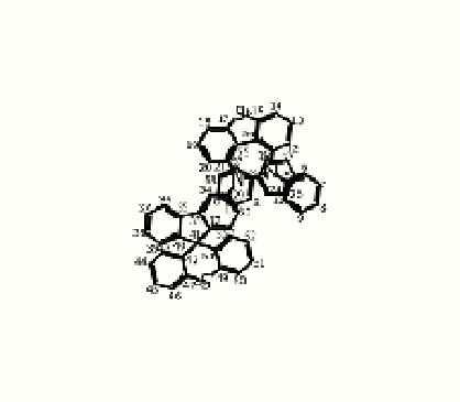 c1ccc(N(c2ccccc2)c2cccc3sc4cccc(N(c5ccccc5)c5ccc6c(c5)-c5ccccc5C65c6ccccc6Sc6ccccc65)c4c23)cc1